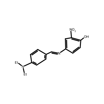 CCN(CC)c1ccc(C=Nc2ccc(O)c([N+](=O)[O-])c2)cc1